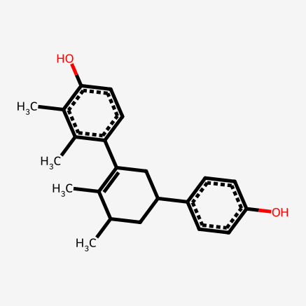 CC1=C(c2ccc(O)c(C)c2C)CC(c2ccc(O)cc2)CC1C